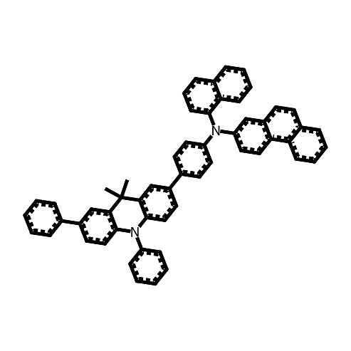 CC1(C)c2cc(-c3ccccc3)ccc2N(c2ccccc2)c2ccc(-c3ccc(N(c4ccc5c(ccc6ccccc65)c4)c4cccc5ccccc45)cc3)cc21